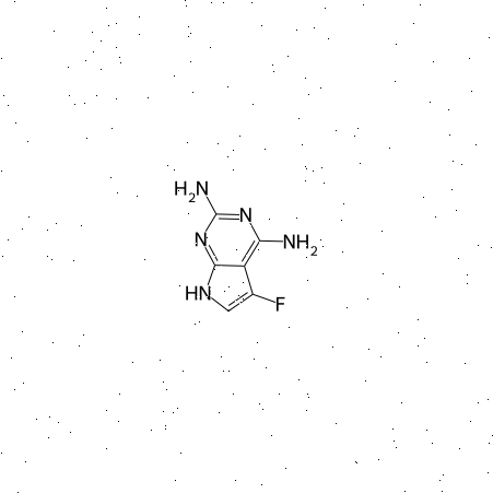 Nc1nc(N)c2c(F)c[nH]c2n1